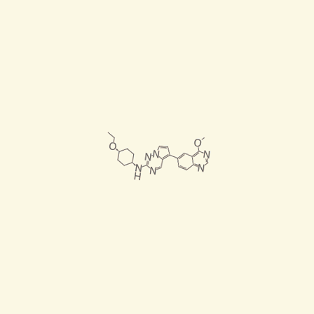 CCO[C@H]1CC[C@@H](Nc2ncc3c(-c4ccc5ncnc(OC)c5c4)ccn3n2)CC1